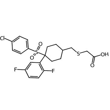 O=C(O)CSCC1CCC(c2cc(F)ccc2F)(S(=O)(=O)c2ccc(Cl)cc2)CC1